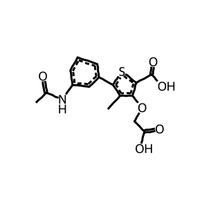 CC(=O)Nc1cccc(-c2sc(C(=O)O)c(OCC(=O)O)c2C)c1